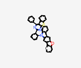 c1ccc(-c2nc(-c3ccccc3-n3c4ccccc4c4cc5oc6ccccc6c5cc43)nc3sc4ccccc4c23)cc1